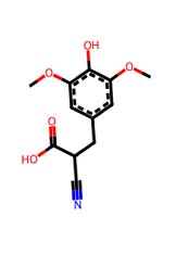 COc1cc(C[C](C#N)C(=O)O)cc(OC)c1O